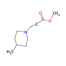 [CH2]C1CCN(CCC(=O)OC)CC1